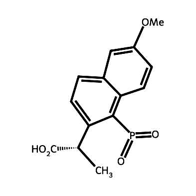 COc1ccc2c(P(=O)=O)c([C@H](C)C(=O)O)ccc2c1